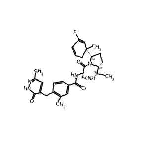 CC(=O)N[C@@H](C)[C@H]1CC[C@@H](C2(C)C=C(F)C=CC2)N1C(=O)CNC(=O)c1ccc(Cc2cc(C)n[nH]c2=O)c(C)c1